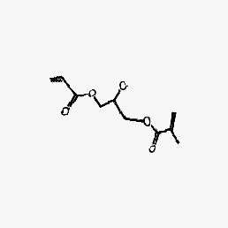 C=CC(=O)OCC([O])COC(=O)C(=C)C